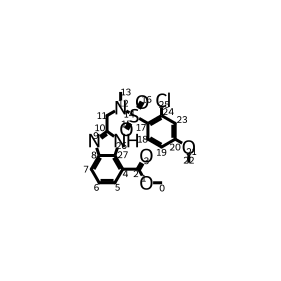 COC(=O)c1cccc2nc(CN(C)S(=O)(=O)c3ccc(OC)cc3Cl)[nH]c12